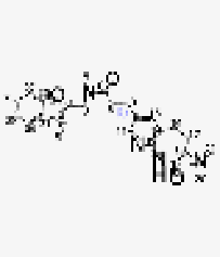 Cc1c(CN(C)C(=O)/C=C/c2cnc3c(c2)CCC(N(C)C)C(=O)N3)oc2ccccc12